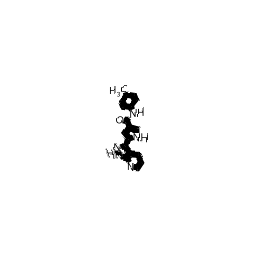 Cc1ccc(NC(=O)c2c[nH]c(-c3n[nH]c4ncccc34)c2)cc1